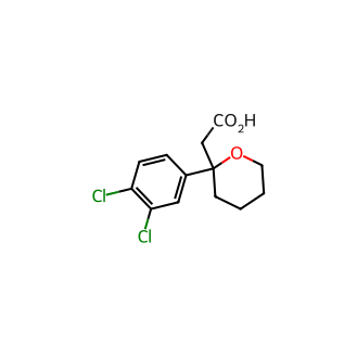 O=C(O)CC1(c2ccc(Cl)c(Cl)c2)CCCCO1